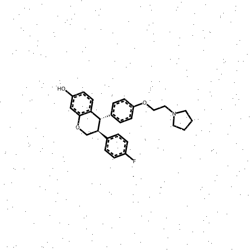 Oc1ccc2c(c1)OC[C@H](c1ccc(F)cc1)[C@H]2c1ccc(OCCN2CCCC2)cc1